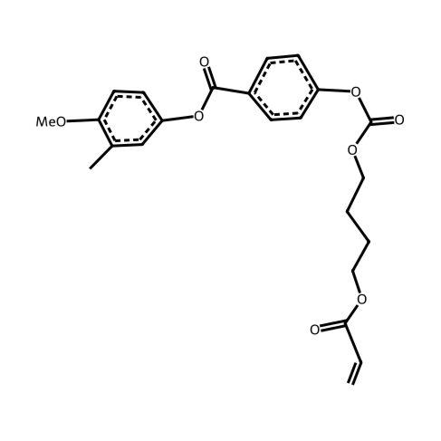 C=CC(=O)OCCCCOC(=O)Oc1ccc(C(=O)Oc2ccc(OC)c(C)c2)cc1